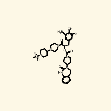 Bc1cc(C[C@@H](OC(=O)N2CCC(N3CCc4ccccc4NC3=O)CC2)C(=O)N2CCN(C3CCN(S(C)(=O)=O)CC3)CC2)cc(Br)c1O